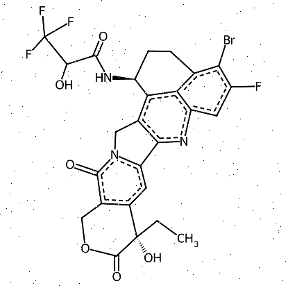 CC[C@@]1(O)C(=O)OCc2c1cc1n(c2=O)Cc2c-1nc1cc(F)c(Br)c3c1c2[C@@H](NC(=O)C(O)C(F)(F)F)CC3